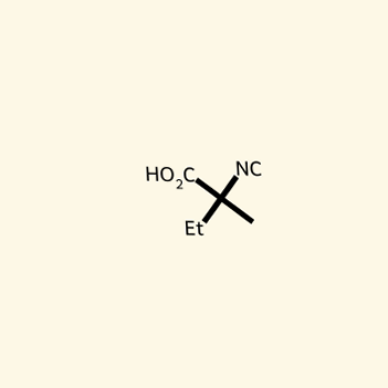 [C-]#[N+]C(C)(CC)C(=O)O